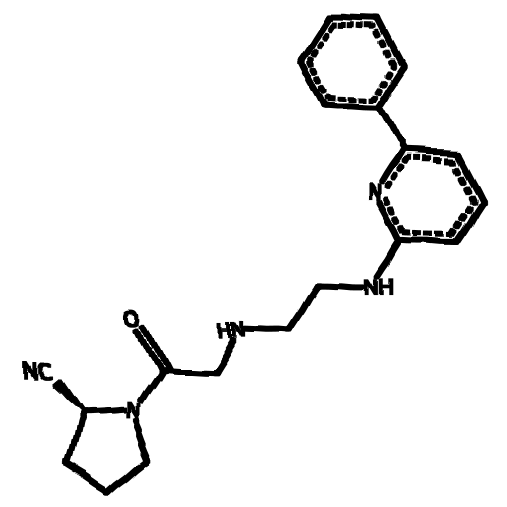 N#C[C@@H]1CCCN1C(=O)CNCCNc1cccc(-c2ccccc2)n1